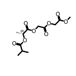 COC(=O)COC(=O)COC(=O)[C@@H](C)OC(=O)C(C)C